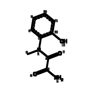 CN(C(=O)C(N)=O)c1ccccc1O